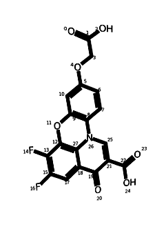 O=C(O)COc1ccc2c(c1)Oc1c(F)c(F)cc3c(=O)c(C(=O)O)cn-2c13